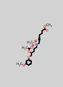 COC(=O)CCCC#CCN(CCCC(COc1cccc(OC)c1)OC(C)=O)S(C)(=O)=O